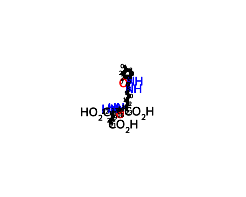 Cc1ccc(NC(=O)NCCCC[C@H](NC(=O)N[C@@H](CCC(=O)O)C(=O)O)C(=O)O)cc1